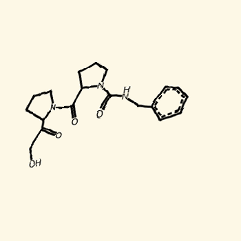 O=C(CO)C1CCCN1C(=O)C1CCCN1C(=O)NCc1ccccc1